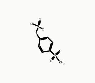 CS(=O)(=O)c1ccc(OP(=O)(Cl)Cl)cc1